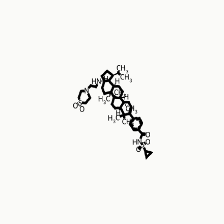 CC(C)[C@@H]1CC[C@]2(NCCN3CCS(=O)(=O)CC3)CC[C@]3(C)[C@H](CC[C@@H]4[C@@]5(C)CC=C(c6ccc(C(=O)NS(=O)(=O)C7CC7)cc6)C(C)(C)[C@@H]5CC[C@]43C)[C@@H]12